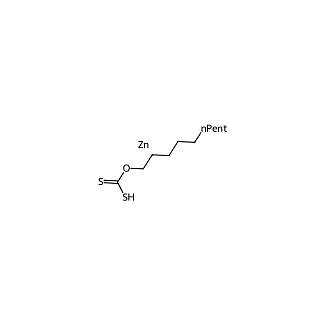 CCCCCCCCCCOC(=S)S.[Zn]